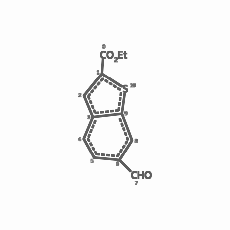 CCOC(=O)c1cc2ccc(C=O)cc2s1